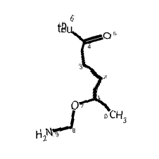 CC(CCC(=O)C(C)(C)C)OCN